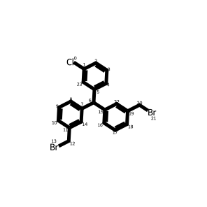 Clc1cccc(C(c2cccc(CBr)c2)c2cccc(CBr)c2)c1